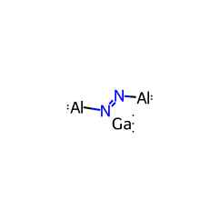 [Al][N]=[N][Al].[Ga]